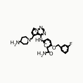 NC(=O)c1cc(Nc2ncnn3ccc(CN4CCC(N)CC4)c23)ccc1OCc1cccc(F)c1